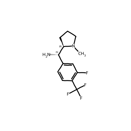 CN1CCC[C@@H]1[C@@H](N)c1ccc(C(F)(F)F)c(F)c1